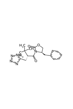 CC(C)(C)[C@@H](Cc1nnn[nH]1)C(=O)N1C(=O)OC[C@H]1Cc1ccccc1